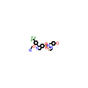 COc1ccc(CN(c2nccs2)S(=O)(=O)c2ccc3c(-c4ccc(C(F)(F)F)cc4OCC#N)nccc3c2)cc1